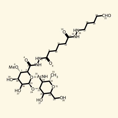 CO[C@@H]1C(C(=O)NNC(=O)CCCCC(=O)NNCCCCC=O)O[C@@H](O[C@H]2C(O)C(CO)O[C@@H](C)C2NC(C)=O)C(O)[C@H]1O